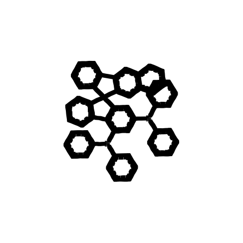 c1ccc(N(c2ccccc2)c2cc(N(c3ccccc3)c3ccccc3)c3c(c2)C2(c4ccccc4-c4cc5ccccc5cc42)c2ccccc2-3)cc1